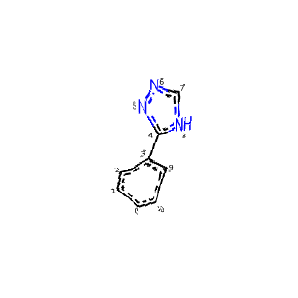 c1ccc(-c2nnc[nH]2)cc1